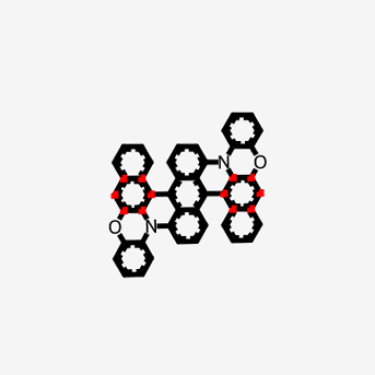 c1ccc2c(c1)Oc1ccccc1N2c1cccc2c(-c3cccc4ccccc34)c3c(N4c5ccccc5Oc5ccccc54)cccc3c(-c3cccc4ccccc34)c12